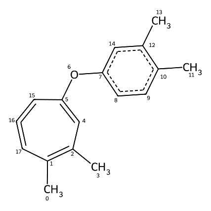 CC1=C(C)C=C(Oc2ccc(C)c(C)c2)C=C=C1